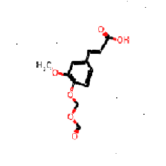 COc1cc(/C=C/C(=O)O)ccc1OCOC=O